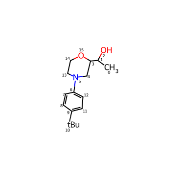 CC(O)C1CN(c2ccc(C(C)(C)C)cc2)CCO1